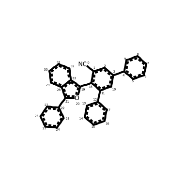 N#Cc1cc(-c2ccccc2)cc(-c2ccccc2)c1-c1oc(-c2ccccc2)c2ccccc12